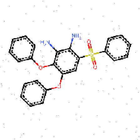 Nc1c(S(=O)(=O)c2ccccc2)cc(Oc2ccccc2)c(Oc2ccccc2)c1N